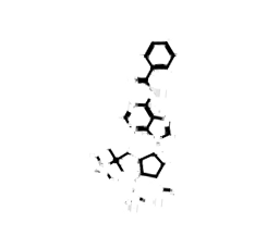 CC(C)(C[C@@H]1[C@H](O[PH](=O)O)[C@@H](CO)C[C@H]1n1cnc2c(NC(=O)c3ccccc3)ncnc21)[Si](C)(C)O